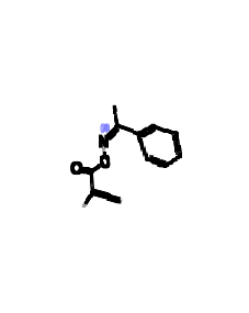 C=C(C)C(=O)O/N=C(/C)c1ccccc1